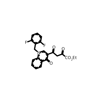 CCOC(=O)C(=O)CC(=O)c1cn(Cc2c(F)cccc2F)c2ccccc2c1=O